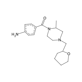 CC1CN(CC2CCCCO2)CCN1C(=O)c1ccc(N)cc1